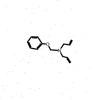 C=CCN(CC=C)COc1ccccc1